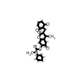 Cc1c(Cc2c(Cl)cccc2Cl)c(=O)oc2cc(OC(=O)N(C)c3ccccc3)c(Cl)cc12